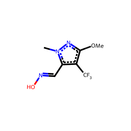 COc1nn(C)c(/C=N/O)c1C(F)(F)F